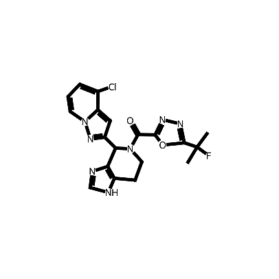 CC(C)(F)c1nnc(C(=O)N2CCc3[nH]cnc3C2c2cc3c(Cl)cccn3n2)o1